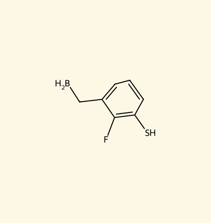 BCc1cccc(S)c1F